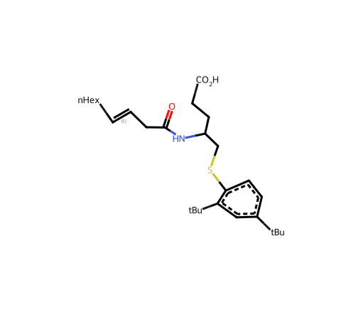 CCCCCC/C=C/CC(=O)NC(CCC(=O)O)CSc1ccc(C(C)(C)C)cc1C(C)(C)C